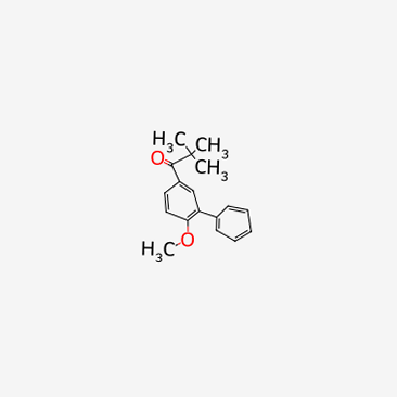 COc1ccc(C(=O)C(C)(C)C)cc1-c1ccccc1